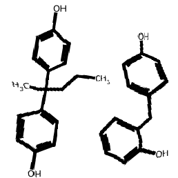 CCCC(C)(c1ccc(O)cc1)c1ccc(O)cc1.Oc1ccc(Cc2ccccc2O)cc1